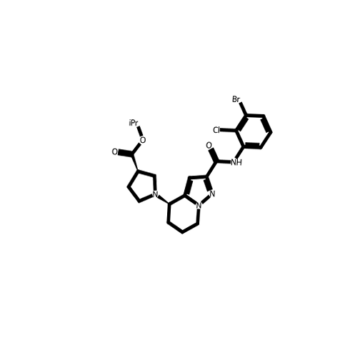 CC(C)OC(=O)[C@@H]1CCN([C@@H]2CCCn3nc(C(=O)Nc4cccc(Br)c4Cl)cc32)C1